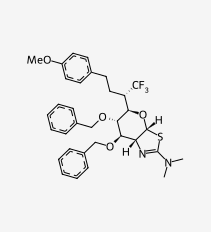 COc1ccc(CC[C@@H]([C@H]2O[C@@H]3SC(N(C)C)=N[C@@H]3[C@@H](OCc3ccccc3)[C@@H]2OCc2ccccc2)C(F)(F)F)cc1